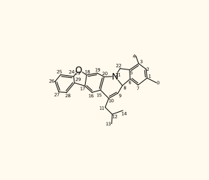 Cc1cc(C)c2c(c1)C1C=C(CC(C)C)c3cc4c(cc3N1C2)oc1ccccc14